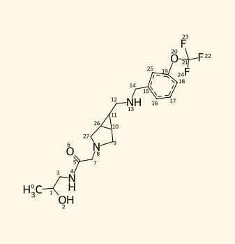 CC(O)CNC(=O)CN1CC2C(CNCc3cccc(OC(F)(F)F)c3)C2C1